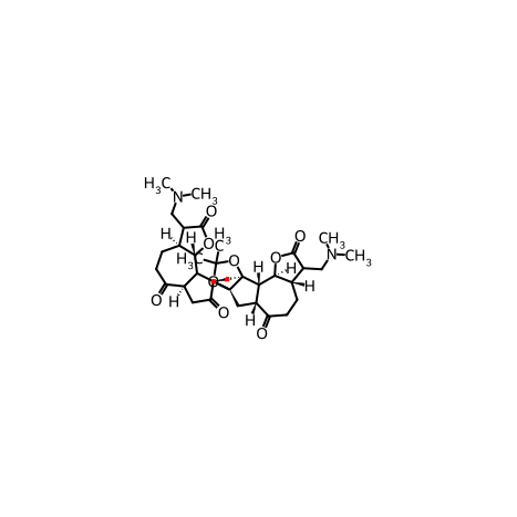 CN(C)CC1C(=O)O[C@@H]2[C@@H]3[C@@H](C[C@@]45OC(C)(C)O[C@@]34CC[C@]53C(=O)C[C@H]4C(=O)CC[C@H]5C(CN(C)C)C(=O)O[C@@H]5C43)C(=O)CC[C@@H]12